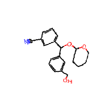 N#Cc1cccc(C(OC2CCCCO2)c2cccc(CO)c2)c1